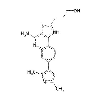 Cc1cc(-c2ccc3c(c2)nc(N)c2nc(CCCO)[nH]c23)n(C)n1